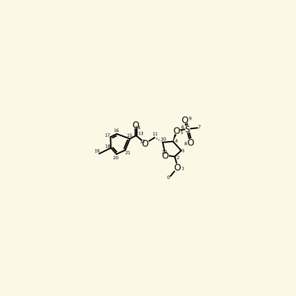 COC1C[C@H](OS(C)(=O)=O)[C@@H](COC(=O)c2ccc(C)cc2)O1